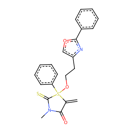 C=C1C(=O)N(C)C(=S)S1(OCCc1coc(-c2ccccc2)n1)c1ccccc1